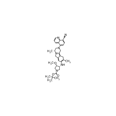 CO[C@@H]1CN(C(=O)OC(C)(C)C)C[C@H]1NC1=C(C)CC2=C3CN(c4ccc(C#N)c5ncccc45)C[C@@H](C)N3CC2=C1